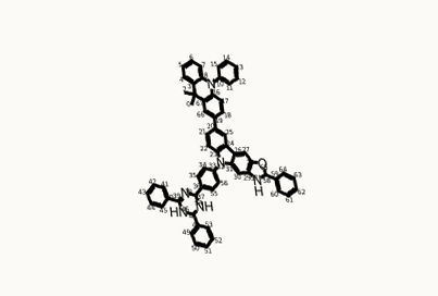 CC1(C)c2ccccc2N(c2ccccc2)c2ccc(-c3ccc4c(c3)c3cc5c(cc3n4-c3ccc(C4N=C(c6ccccc6)NC(c6ccccc6)N4)cc3)NC(c3ccccc3)O5)cc21